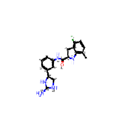 Cc1ccc(F)c2c1NC(C(=O)Nc1cccc(C3CNC(N)N3)c1)C2